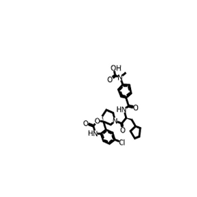 CN(C(=O)O)c1ccc(C(=O)N[C@@H](CC2CCCC2)C(=O)N2CCC[C@@]3(C2)OC(=O)Nc2ccc(Cl)cc23)cc1